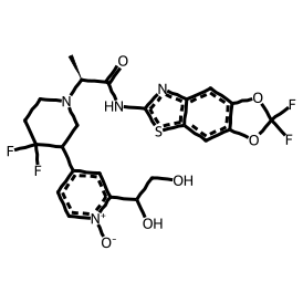 C[C@@H](C(=O)Nc1nc2cc3c(cc2s1)OC(F)(F)O3)N1CCC(F)(F)C(c2cc[n+]([O-])c(C(O)CO)c2)C1